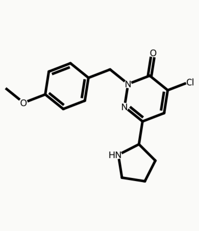 COc1ccc(Cn2nc(C3CCCN3)cc(Cl)c2=O)cc1